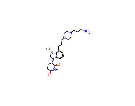 CN1CN(C2CCC(=O)NC2=O)c2cccc(CCCN3CCN(CCCN)CC3)c21